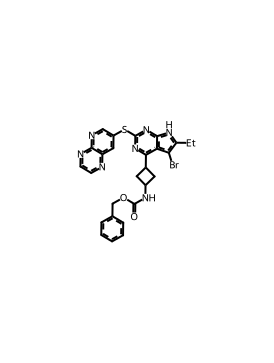 CCc1[nH]c2nc(Sc3cnc4nccnc4c3)nc(C3CC(NC(=O)OCc4ccccc4)C3)c2c1Br